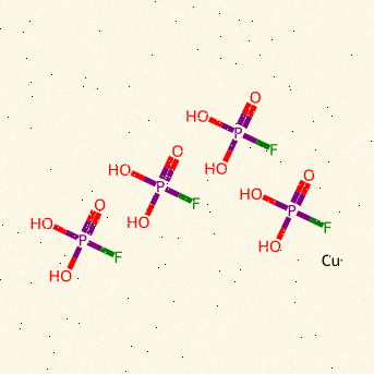 O=P(O)(O)F.O=P(O)(O)F.O=P(O)(O)F.O=P(O)(O)F.[Cu]